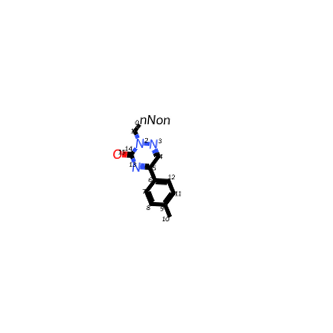 CCCCCCCCCCn1ncc(-c2ccc(C)cc2)nc1=O